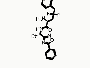 CC[C@H](NC(=O)[C@@H](N)CC(F)(F)Cc1ccccc1)c1noc(-c2ccccc2)n1